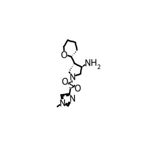 Cn1cnc(S(=O)(=O)N2C[C@H]([C@H]3CCCCO3)[C@@H](N)C2)c1